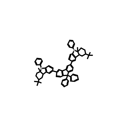 CC(C)(C)C1CCC2(C)C(C1)c1cc(-c3ccc4c(c3)-c3cc(-c5ccc6c(c5)C5CC(C(C)(C)C)CCC5(C)N6c5ccccc5)ccc3C4(c3ccccc3)c3ccccc3)ccc1N2c1ccccc1